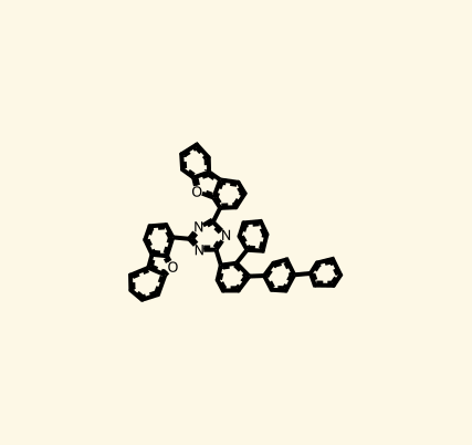 c1ccc(-c2ccc(-c3cccc(-c4nc(-c5cccc6c5oc5ccccc56)nc(-c5cccc6c5oc5ccccc56)n4)c3-c3ccccc3)cc2)cc1